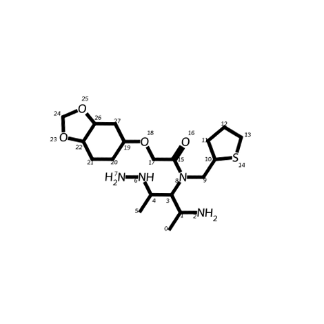 CC(N)C(C(C)NN)N(CC1CCCS1)C(=O)COC1CCC2OCOC2C1